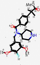 CCOc1cc(CN(C(=O)c2ccc(C(C)(C)C(=O)OC)cc2)C2CCNCC2)cc(OCC)c1F